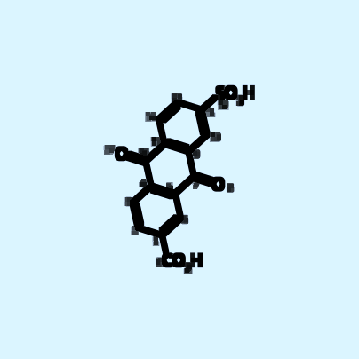 O=C(O)c1ccc2c(c1)C(=O)c1cc(S(=O)(=O)O)ccc1C2=O